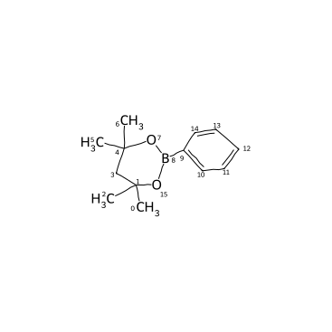 CC1(C)CC(C)(C)OB(c2ccccc2)O1